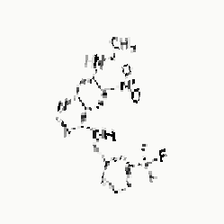 CCNc1cc2ncnc(NCc3cccc(C(F)(F)F)c3)c2cc1[N+](=O)[O-]